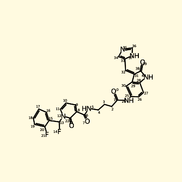 O=C(CCCNC(=O)c1cccn(C(F)c2ccccc2F)c1=O)Nc1ccc2c(c1)C(=Cc1cnc[nH]1)C(=O)N2